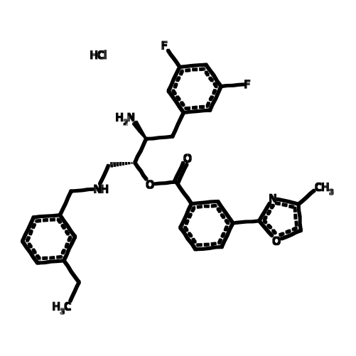 CCc1cccc(CNC[C@@H](OC(=O)c2cccc(-c3nc(C)co3)c2)[C@@H](N)Cc2cc(F)cc(F)c2)c1.Cl